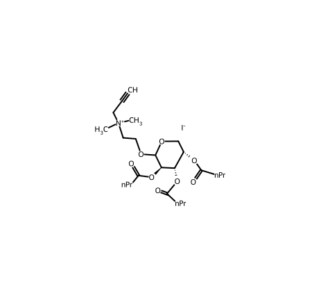 C#CC[N+](C)(C)CCOC1OC[C@H](OC(=O)CCC)[C@H](OC(=O)CCC)[C@H]1OC(=O)CCC.[I-]